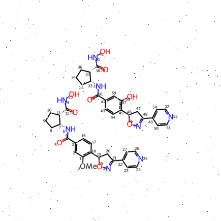 COc1cc(C(=O)N[C@@H]2CCC[C@@H]2C(=O)NO)ccc1C1CC(c2ccncc2)=NO1.O=C(N[C@@H]1CCC[C@@H]1C(=O)NO)c1ccc(C2CC(c3ccncc3)=NO2)c(O)c1